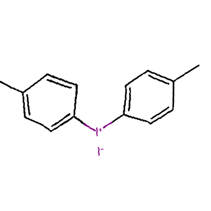 Cc1ccc([I+]c2ccc(C)cc2)cc1.[I-]